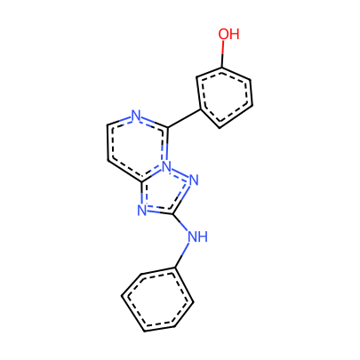 Oc1cccc(-c2nccc3nc(Nc4ccccc4)nn23)c1